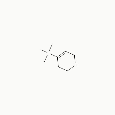 CS(C)(S)C1=CCNCC1